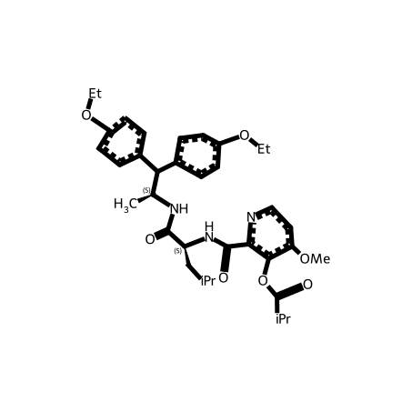 CCOc1ccc(C(c2ccc(OCC)cc2)[C@H](C)NC(=O)[C@H](CC(C)C)NC(=O)c2nccc(OC)c2OC(=O)C(C)C)cc1